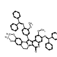 COc1cc(-c2c3n(c4c(=O)oc5cc(N=C(c6ccccc6)c6ccccc6)c(OC)cc5c24)CCc2cc(OC)c(OC)cc2-3)ccc1N=C(c1ccccc1)c1ccccc1